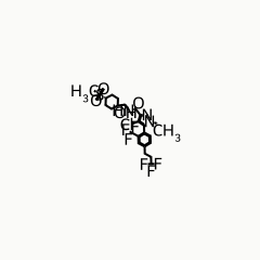 CCn1nc(C(=O)NC[C@]2(O)CC[C@@H](S(C)(=O)=O)CC2)c(Cl)c1-c1ccc(CCC(F)(F)F)cc1C(F)(F)F